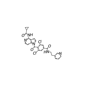 O=C(NCCc1cccnc1)c1cc(Cl)c(C(=O)n2ccc3c(NC(=O)C4CC4)nccc32)c(Cl)c1